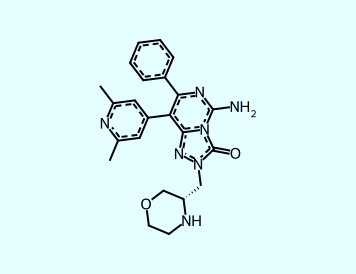 Cc1cc(-c2c(-c3ccccc3)nc(N)n3c(=O)n(C[C@H]4COCCN4)nc23)cc(C)n1